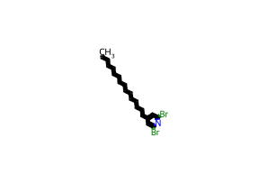 CCCCCCCCCCCCCCCCc1cc(Br)nc(Br)c1